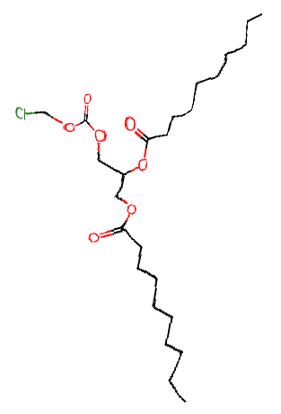 CCCCCCCCCC(=O)OCC(COC(=O)OCCl)OC(=O)CCCCCCCCC